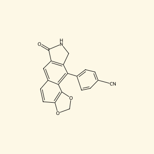 N#Cc1ccc(-c2c3c(cc4ccc5c(c24)OCO5)C(=O)NC3)cc1